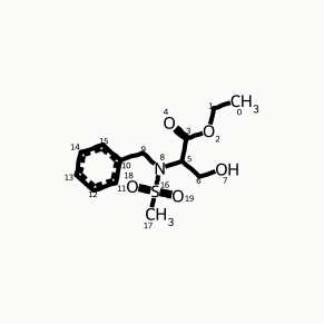 CCOC(=O)C(CO)N(Cc1ccccc1)S(C)(=O)=O